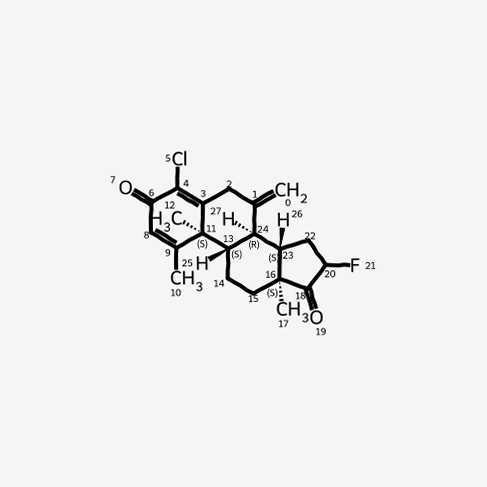 C=C1CC2=C(Cl)C(=O)C=C(C)[C@]2(C)[C@H]2CC[C@]3(C)C(=O)C(F)C[C@H]3[C@H]12